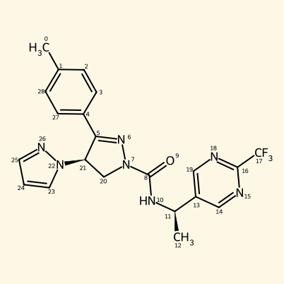 Cc1ccc(C2=NN(C(=O)N[C@H](C)c3cnc(C(F)(F)F)nc3)C[C@H]2n2cccn2)cc1